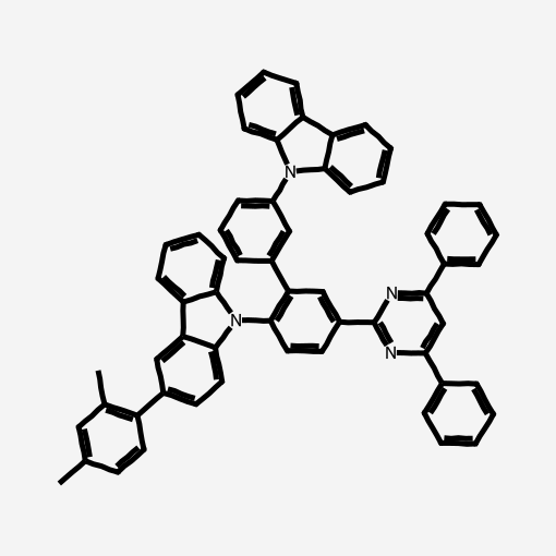 Cc1ccc(-c2ccc3c(c2)c2ccccc2n3-c2ccc(-c3nc(-c4ccccc4)cc(-c4ccccc4)n3)cc2-c2cccc(-n3c4ccccc4c4ccccc43)c2)c(C)c1